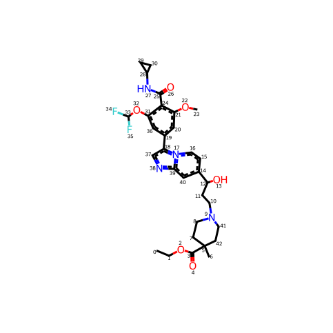 CCOC(=O)C1(C)CCN(CCC(O)c2ccn3c(-c4cc(OC)c(C(=O)NC5CC5)c(OC(F)F)c4)cnc3c2)CC1